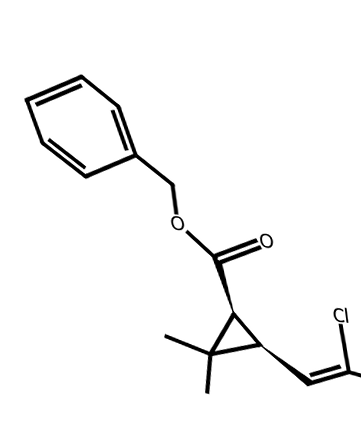 CC1(C)[C@H](C=C(Cl)Cl)[C@@H]1C(=O)OCc1ccccc1